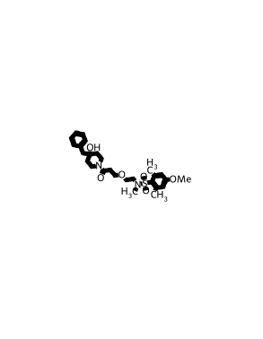 COc1cc(C)c(S(=O)(=O)N(C)CCOCCC(=O)N2CCC(O)(Cc3ccccc3)CC2)c(C)c1